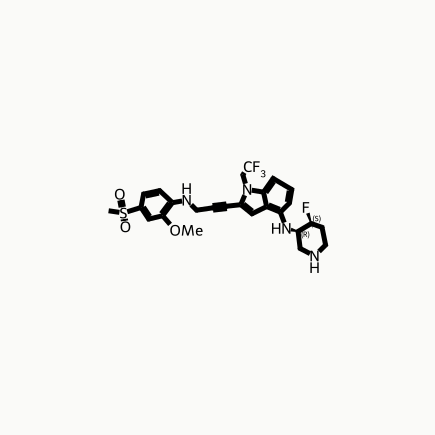 COc1cc(S(C)(=O)=O)ccc1NCC#Cc1cc2c(N[C@@H]3CNCC[C@@H]3F)cccc2n1CC(F)(F)F